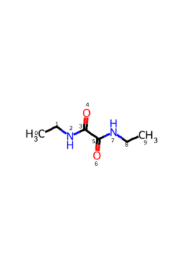 CCNC(=O)C(=O)NCC